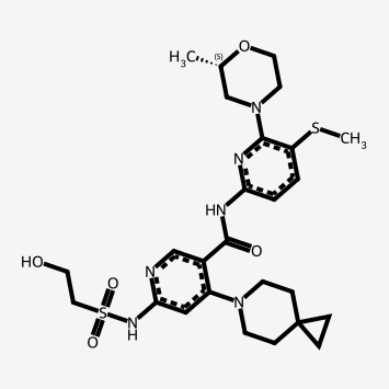 CSc1ccc(NC(=O)c2cnc(NS(=O)(=O)CCO)cc2N2CCC3(CC2)CC3)nc1N1CCO[C@@H](C)C1